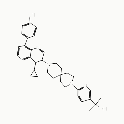 CC(C)(O)c1ccc(N2CCC3(CC2)CCN(C2C=Nc4c(-c5ccc(C#N)cc5)cccc4C2C2CC2)CC3)nc1